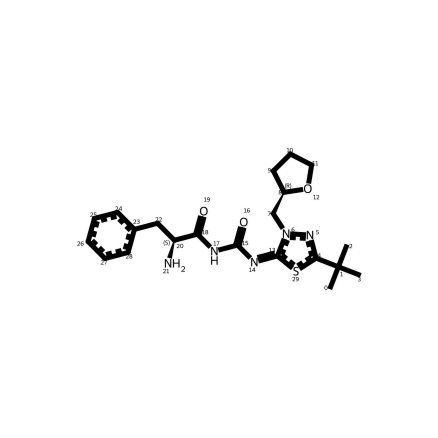 CC(C)(C)c1nn(C[C@H]2CCCO2)c(=NC(=O)NC(=O)[C@@H](N)Cc2ccccc2)s1